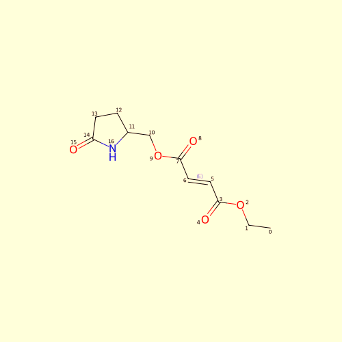 CCOC(=O)/C=C/C(=O)OCC1CCC(=O)N1